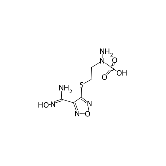 NC(=NO)c1nonc1SCCN(N)S(=O)(=O)O